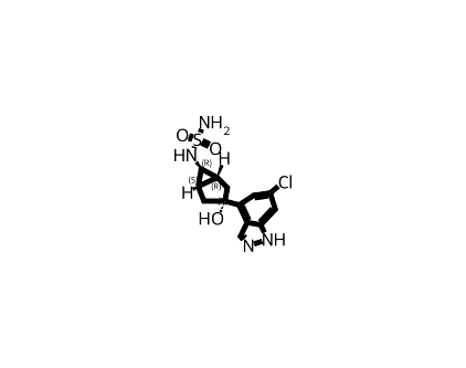 NS(=O)(=O)N[C@H]1[C@@H]2C[C@@](O)(c3cc(Cl)cc4[nH]ncc34)C[C@@H]21